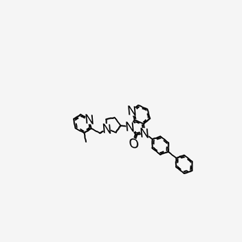 Cc1cccnc1CN1CCC(n2c(=O)n(-c3ccc(-c4ccccc4)cc3)c3cccnc32)C1